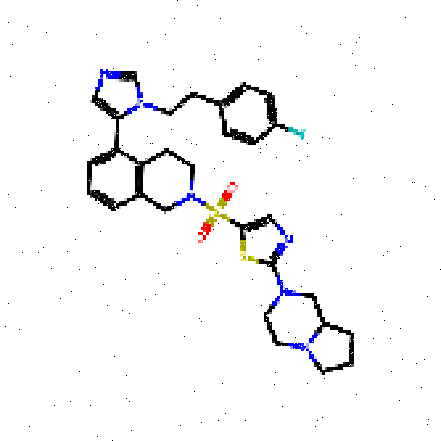 O=S(=O)(c1cnc(N2CCN3CCCC3C2)s1)N1CCc2c(cccc2-c2cncn2CCc2ccc(F)cc2)C1